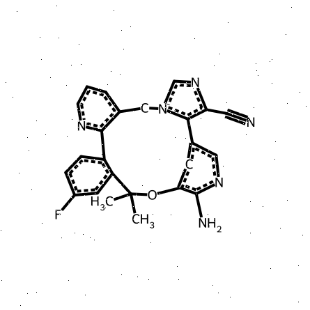 CC1(C)Oc2cc(cnc2N)-c2c(C#N)ncn2Cc2cccnc2-c2ccc(F)cc21